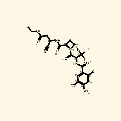 CCOC(=O)CC(C#N)NC(=O)C1CCN1C(=O)C(NC(=O)c1cc(Cl)c(N)cc1C)C(F)(F)F